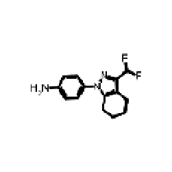 Nc1ccc(-n2nc(C(F)F)c3c2CCCC3)cc1